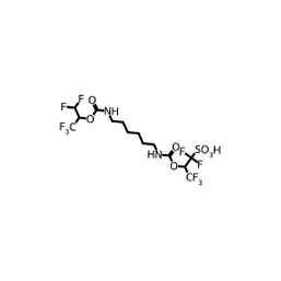 O=C(NCCCCCCNC(=O)OC(C(F)(F)F)C(F)(F)S(=O)(=O)O)OC(C(F)F)C(F)(F)F